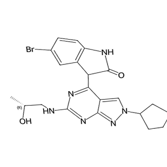 C[C@@H](O)CNc1nc(C2C(=O)Nc3ccc(Br)cc32)c2cn(C3CCCC3)nc2n1